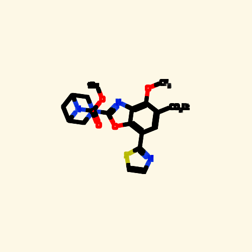 CCOC(=O)c1cc(-c2nccs2)c2oc(N3CC4CC(C3)N4C(=O)OC(C)(C)C)nc2c1OC(F)(F)F